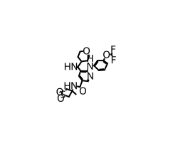 CC1(NC(=O)c2cnc(Nc3cccc(OC(F)F)c3)c(C(=N)C3CCOCC3)c2)CS(=O)(=O)C1